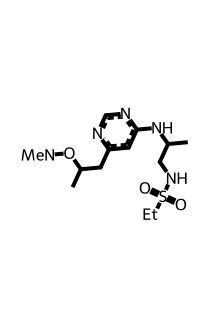 CCS(=O)(=O)NCC(C)Nc1cc(CC(C)ONC)ncn1